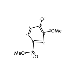 COC(=O)c1ccc([O])c(OC)c1